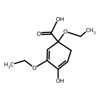 CCOC1=CC(OCC)(C(=O)O)CC=C1O